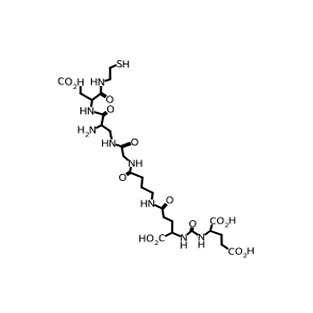 NC(CNC(=O)CNC(=O)CCCNC(=O)CCC(NC(=O)NC(CCC(=O)O)C(=O)O)C(=O)O)C(=O)NC(CC(=O)O)C(=O)NCCS